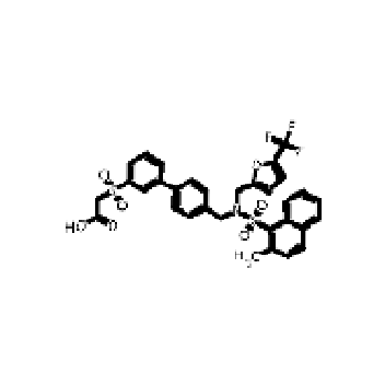 Cc1ccc2ccccc2c1S(=O)(=O)N(Cc1ccc(-c2cccc(S(=O)(=O)CC(=O)O)c2)cc1)Cc1ccc(C(F)(F)F)o1